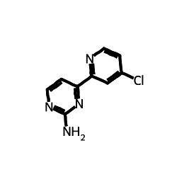 Nc1nccc(-c2cc(Cl)ccn2)n1